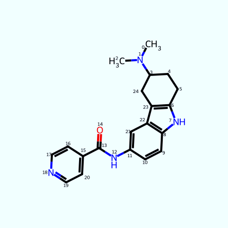 CN(C)C1CCc2[nH]c3ccc(NC(=O)c4ccncc4)cc3c2C1